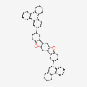 c1ccc2c(c1)cc(-c1ccc3oc4cc5c(cc4c3c1)oc1ccc(-c3ccc4c6ccccc6c6ccccc6c4c3)cc15)c1ccccc12